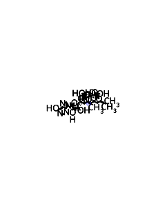 CC(C)=CCC/C(C)=C/CC(OP(=O)(O)OP(=O)(O)OP(=O)(O)O)[C@H]1O[C@@H](n2cnc3c(O)ncnc32)[C@H](O)[C@@H]1O